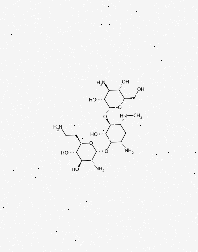 CN[C@@H]1C[C@H](N)C(O[C@H]2O[C@H](CCN)[C@@H](O)[C@H](O)[C@H]2N)[C@H](O)[C@H]1O[C@H]1O[C@H](CO)[C@@H](O)[C@H](N)[C@H]1O